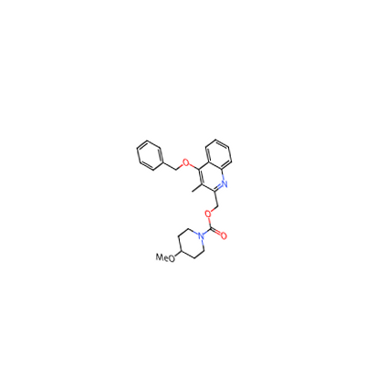 COC1CCN(C(=O)OCc2nc3ccccc3c(OCc3ccccc3)c2C)CC1